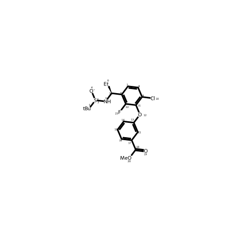 CC[C@H](N[S+]([O-])C(C)(C)C)c1ccc(Cl)c(Oc2cccc(C(=O)OC)c2)c1F